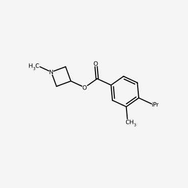 Cc1cc(C(=O)OC2CN(C)C2)ccc1C(C)C